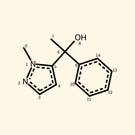 Cn1nccc1C(C)(O)c1ccccc1